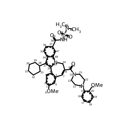 COc1ccc2c(c1)C=C(C(=O)N1CCN(c3ccccc3OC)CC1)Cn1c-2c(C2CCCCC2)c2ccc(C(=O)NS(=O)(=O)N(C)C)cc21